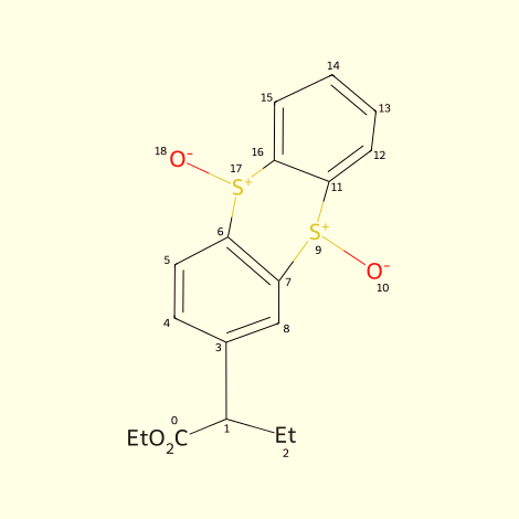 CCOC(=O)C(CC)c1ccc2c(c1)[S+]([O-])c1ccccc1[S+]2[O-]